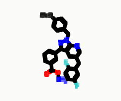 COc1ccc(Cn2nc(-c3cccc(C(=O)ON)c3)c3cc(Cc4cc(F)ccc4F)cnc32)cc1